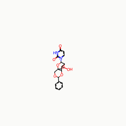 O=c1ccn(C2OC34COC(c5ccccc5)OC3C(O)C2OC4)c(=O)[nH]1